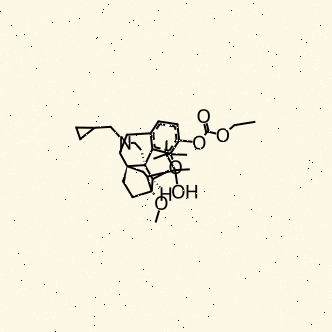 CCOC(=O)Oc1ccc2c3c1O[C@@H]1[C@]34CCN(CC3CC3)C(C2)[C@]42CC[C@@]1(OC)C(C(C)(O)C(C)(C)C)C2